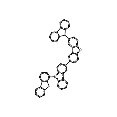 c1ccc2c(c1)Cc1c-2cccc1-n1c2ccccc2c2cc(-c3ccc4oc5ccc(C6c7ccccc7-c7ccccc76)cc5c4c3)ccc21